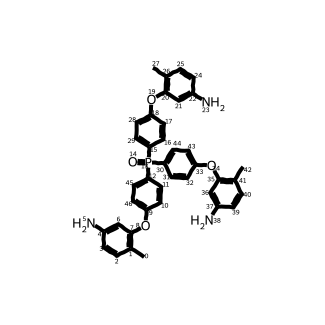 Cc1ccc(N)cc1Oc1ccc(P(=O)(c2ccc(Oc3cc(N)ccc3C)cc2)c2ccc(Oc3cc(N)ccc3C)cc2)cc1